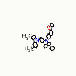 Cc1ccc2c(c1)c1cc(C)ccc1n2-c1ccc(N(c2ccc3c(ccc4c5ccccc5oc34)c2)c2ccc(-c3ccccc3)c3ccccc23)cc1